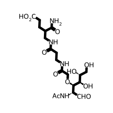 CC(=O)N[C@@H](C=O)[C@@H](OCC(=O)NCCC(=O)NCC(CCC(=O)O)C(N)=O)[C@H](O)[C@H](O)CO